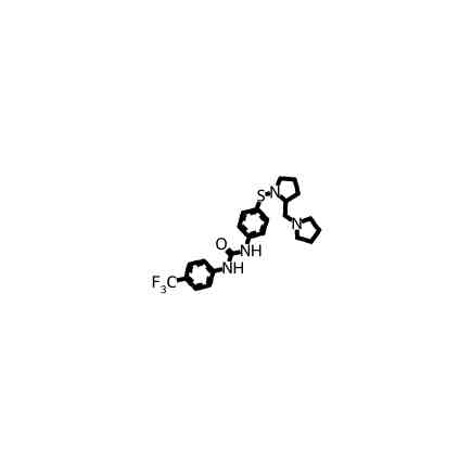 O=C(Nc1ccc(SN2CCCC2CN2CCCC2)cc1)Nc1ccc(C(F)(F)F)cc1